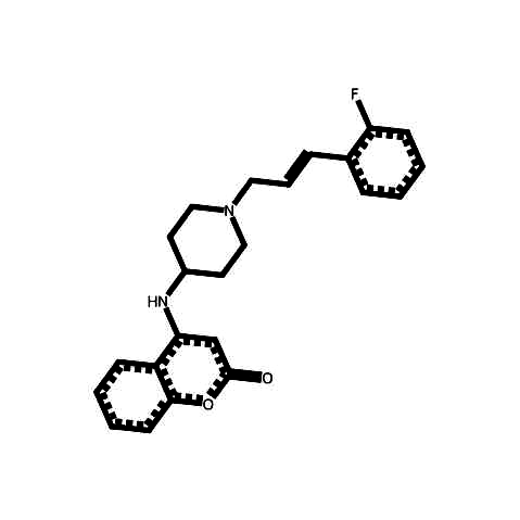 O=c1cc(NC2CCN(CC=Cc3ccccc3F)CC2)c2ccccc2o1